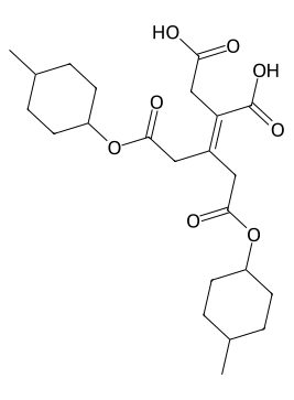 CC1CCC(OC(=O)CC(CC(=O)OC2CCC(C)CC2)=C(CC(=O)O)C(=O)O)CC1